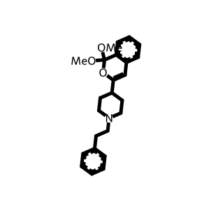 COC1(OC)OC(C2CCN(CCc3ccccc3)CC2)=Cc2ccccc21